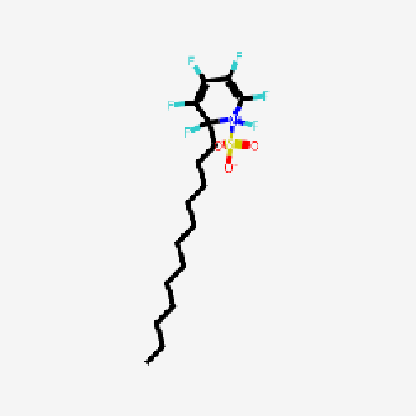 CCCCCCCCCCCCC1(F)C(F)=C(F)C(F)=C(F)[N+]1(F)S(=O)(=O)[O-]